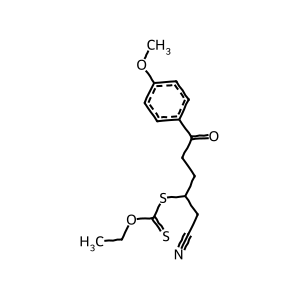 CCOC(=S)SC(CC#N)CCC(=O)c1ccc(OC)cc1